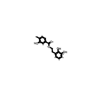 Cc1ccc(C(=O)OCCc2cccc(O)c2O)cc1O